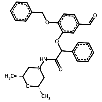 C[C@@H]1CN(NC(=O)C(Oc2cc(C=O)ccc2OCc2ccccc2)c2ccccc2)C[C@H](C)O1